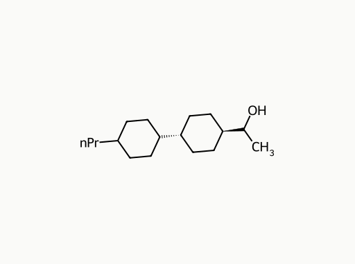 CCCC1CCC([C@H]2CC[C@H](C(C)O)CC2)CC1